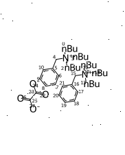 CCCC[N+](CCCC)(CCCC)Cc1ccccc1.CCCC[N+](CCCC)(CCCC)Cc1ccccc1.O=C([O-])C(=O)[O-]